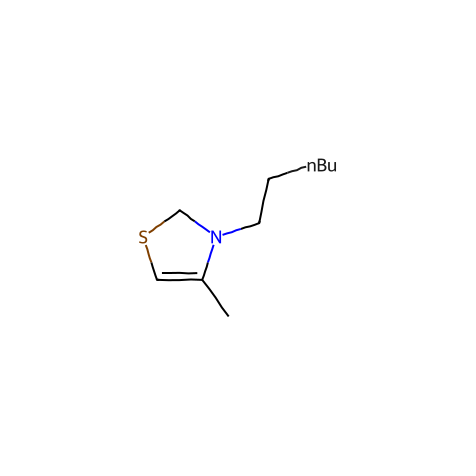 CCCCCCN1CSC=C1C